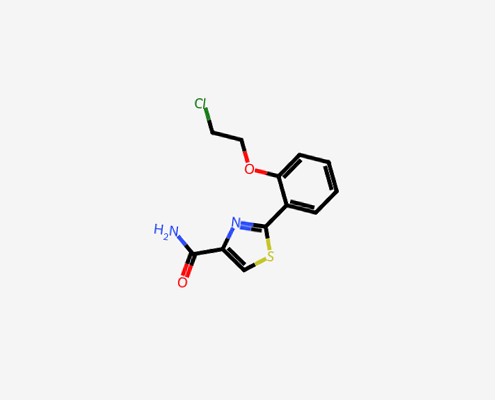 NC(=O)c1csc(-c2ccccc2OCCCl)n1